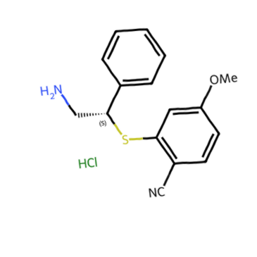 COc1ccc(C#N)c(S[C@H](CN)c2ccccc2)c1.Cl